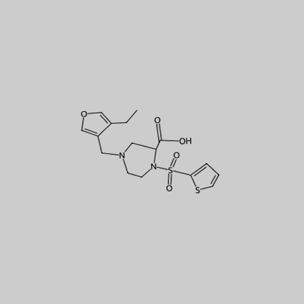 CCc1cocc1CN1CCN(S(=O)(=O)c2cccs2)C(C(=O)O)C1